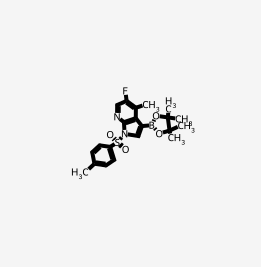 Cc1ccc(S(=O)(=O)n2cc(B3OC(C)(C)C(C)(C)O3)c3c(C)c(F)cnc32)cc1